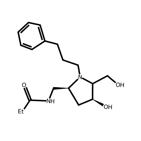 CCC(=O)NC[C@@H]1C[C@H](O)C(CO)N1CCCc1ccccc1